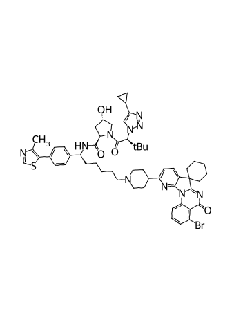 Cc1ncsc1-c1ccc([C@H](CCCCCN2CCC(c3ccc4c(n3)-n3c(nc(=O)c5c(Br)cccc53)C43CCCCC3)CC2)NC(=O)[C@H]2C[C@H](O)CN2C(=O)[C@@H](n2cc(C3CC3)nn2)C(C)(C)C)cc1